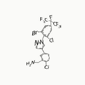 NCc1cc(-c2cnn(-c3c(Cl)cc(C(F)(C(F)(F)F)C(F)(F)F)cc3Br)c2)ccc1Cl